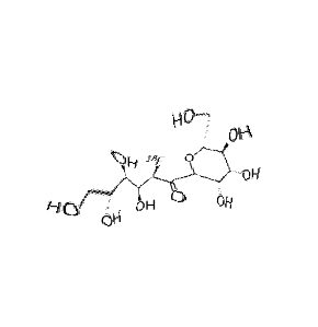 O=C(C1O[C@H](CO)[C@@H](O)[C@H](O)[C@@H]1O)[C@H]([18F])[C@@H](O)[C@H](O)[C@H](O)CO